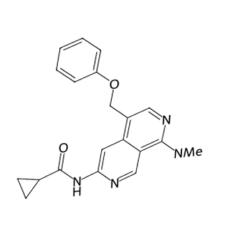 CNc1ncc(COc2ccccc2)c2cc(NC(=O)C3CC3)ncc12